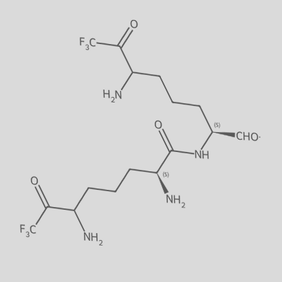 NC(CCC[C@@H]([C]=O)NC(=O)[C@@H](N)CCCC(N)C(=O)C(F)(F)F)C(=O)C(F)(F)F